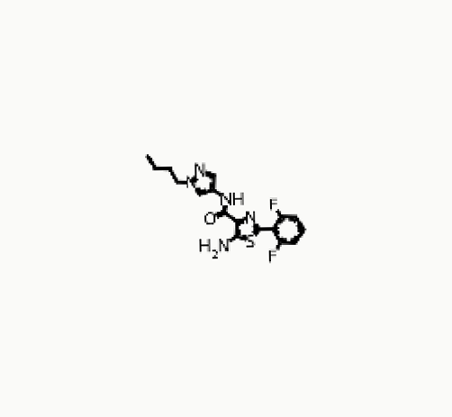 CCCCn1cc(NC(=O)c2nc(-c3c(F)cccc3F)sc2N)cn1